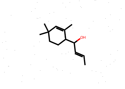 CC=CC(O)C1CCC(C)(C)C=C1C